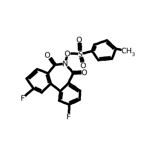 Cc1ccc(S(=O)(=O)On2c(=O)c3ccc(F)cc3c3cc(F)ccc3c2=O)cc1